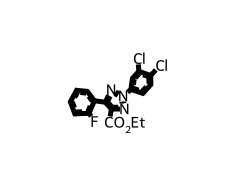 CCOC(=O)c1nn(-c2ccc(Cl)c(Cl)c2)nc1-c1ccccc1F